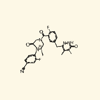 Cc1c(Cc2ccc(F)c(C(=O)N3CC(=O)N(c4ccc(C#N)cc4F)[C@H](C)C3)c2)n[nH]c(=O)c1C